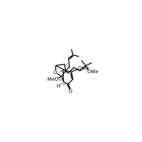 COC1=CC(=O)[C@H]2[C@]3(OC)OC(C[C@]13CC=C(C)C)[C@@]2(C)CCCC(C)(C)OC